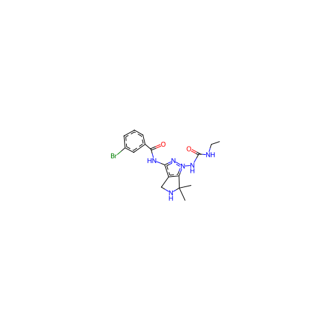 CCNC(=O)Nn1nc(NC(=O)c2cccc(Br)c2)c2c1C(C)(C)NC2